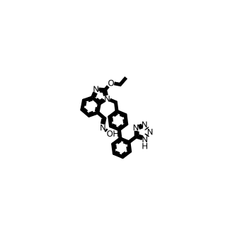 CCOc1nc2cccc(C=NO)c2n1Cc1ccc(-c2ccccc2-c2nnn[nH]2)cc1